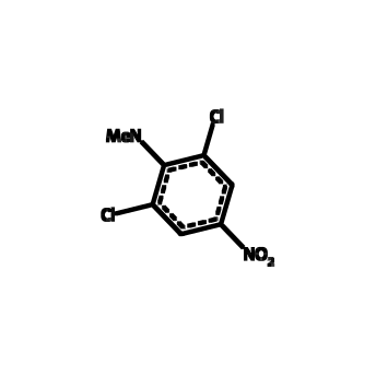 CNc1c(Cl)cc([N+](=O)[O-])cc1Cl